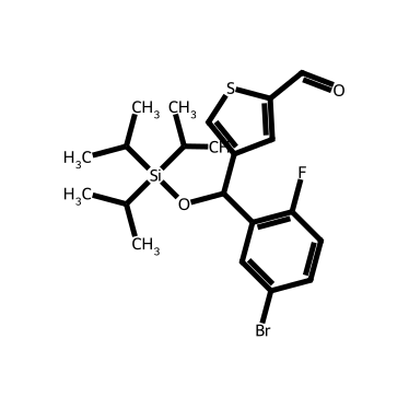 CC(C)[Si](OC(c1csc(C=O)c1)c1cc(Br)ccc1F)(C(C)C)C(C)C